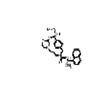 CONC(=O)c1ccc(CN(CCCN2CCOCC2)C(=O)N[C@@H](C)c2cccc3ccccc23)cc1